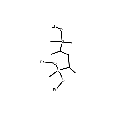 CCO[Si](C)(C)C(C)CC(C)[Si](C)(OCC)OCC